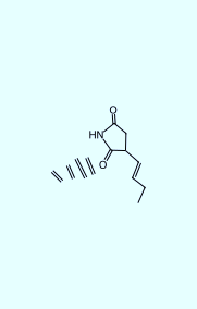 C=C.C=C.C=C.C=C.CCC=CC1CC(=O)NC1=O